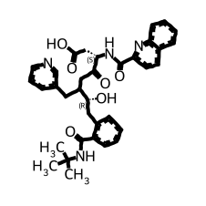 CC(C)(C)NC(=O)c1ccccc1C[C@@H](O)C(CC(=O)[C@H](CC(=O)O)NC(=O)c1ccc2ccccc2n1)Cc1cccnc1